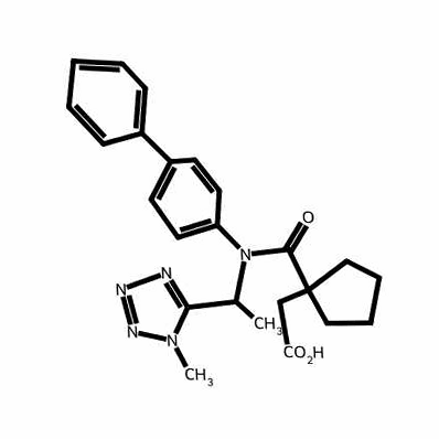 CC(c1nnnn1C)N(C(=O)C1(CC(=O)O)CCCC1)c1ccc(-c2ccccc2)cc1